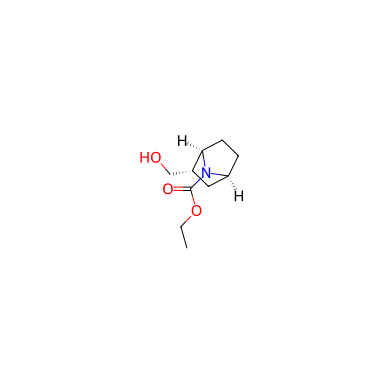 CCOC(=O)N1[C@H]2CC[C@@H]1[C@@H](CO)C2